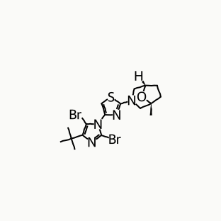 CC(C)(C)c1nc(Br)n(-c2csc(N3C[C@@H]4CC[C@](C)(C3)O4)n2)c1Br